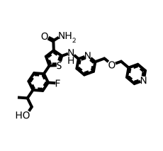 CC(CO)c1ccc(-c2cc(C(N)=O)c(Nc3cccc(COCc4ccncc4)n3)s2)c(F)c1